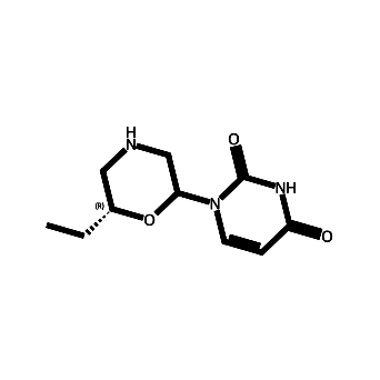 CC[C@@H]1CNCC(n2ccc(=O)[nH]c2=O)O1